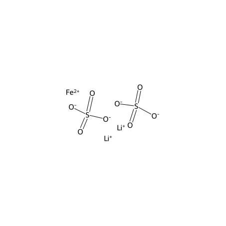 O=S(=O)([O-])[O-].O=S(=O)([O-])[O-].[Fe+2].[Li+].[Li+]